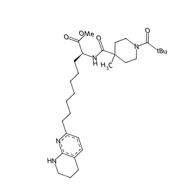 COC(=O)[C@H](CCCCCCCc1ccc2c(n1)NCCC2)NC(=O)C1(C)CCN(C(=O)C(C)(C)C)CC1